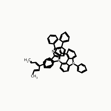 C=CC=C(C=CC)c1ccc(N(c2ccc(-c3ccccc3)cc2)c2cccc3c2c2c(-c4nc(-c5ccccc5)nc(-c5ccccc5)n4)cccc2n3-c2ccccc2)cc1